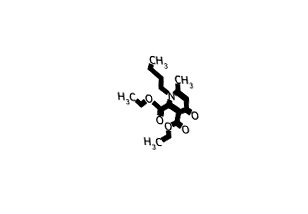 CCCCn1c(C)cc(=O)c(C(=O)OCC)c1C(=O)OCC